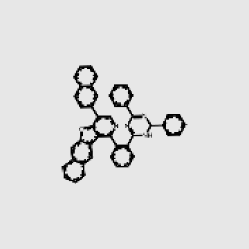 c1ccc(C2=NC(c3ccccc3)NC(c3ccccc3-c3ncc(-c4ccc5ccccc5c4)c4oc5cc6ccccc6cc5c34)=N2)cc1